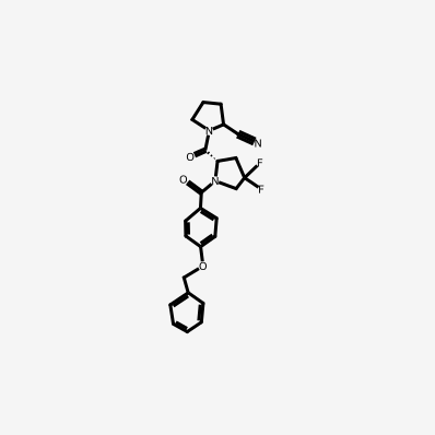 N#CC1CCCN1C(=O)[C@@H]1CC(F)(F)CN1C(=O)c1ccc(OCc2ccccc2)cc1